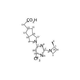 C[C@H]1CCN1c1nc(N2CC3CC(CC(=O)O)CC3C2)cc(C(F)(F)F)n1